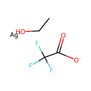 CCO.O=C([O-])C(F)(F)F.[Ag+]